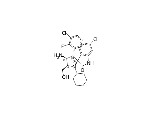 N[C@@H]1[C@H](CO)N(C2CCCCC2)[C@@]2(C(=O)Nc3cc(Cl)ccc32)[C@H]1c1cccc(Cl)c1F